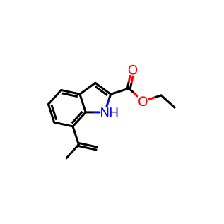 C=C(C)c1cccc2cc(C(=O)OCC)[nH]c12